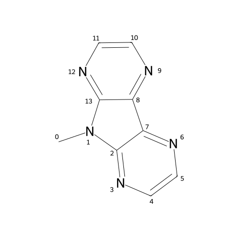 Cn1c2nccnc2c2nccnc21